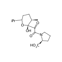 CC(C)C1CC[C@@H](C)[C@](O)(C(=O)C(=O)N2CCC[C@H]2C(=O)O)O1